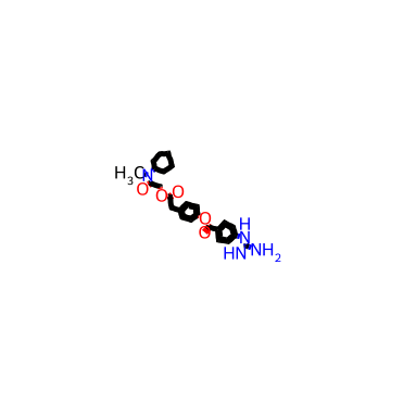 CN(C(=O)COC(=O)Cc1ccc(OC(=O)c2ccc(NC(=N)N)cc2)cc1)C1CCCCC1